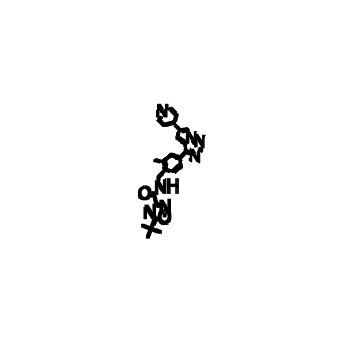 Cc1cc(-c2ncnn3cc(-c4ccncc4)cc23)ccc1CNC(=O)c1noc(C(C)(C)C)n1